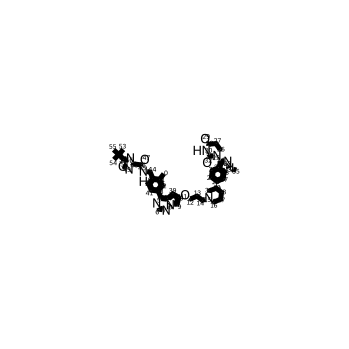 Cc1cc(-c2ncnn3cc(OCCCN4CCC[C@@H](c5ccc6c(N7CCC(=O)NC7=O)nn(C)c6c5)C4)cc23)ccc1CNC(=O)c1noc(C(C)(C)C)n1